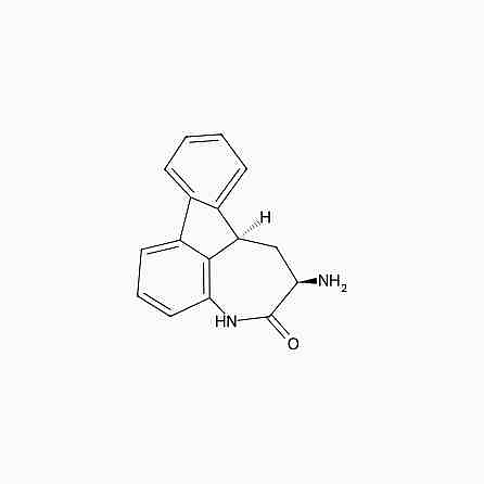 N[C@@H]1C[C@@H]2c3ccccc3-c3cccc(c32)NC1=O